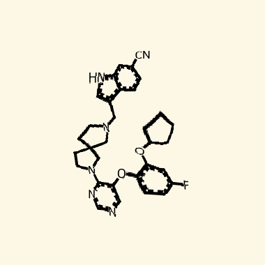 N#Cc1ccc2c(CN3CCC4(CCN(c5ncncc5Oc5ccc(F)cc5OC5CCCC5)C4)C3)c[nH]c2c1